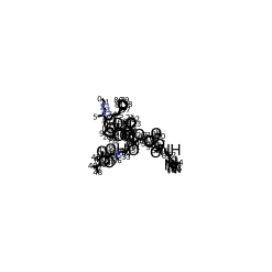 C/C=C/C=C(\C)C(C[C@@H]1CC[C@@H](C)[C@](O)(C(=O)C(=O)N2CCCCC2C(=O)O[C@@H](CC(=O)[C@H](C)/C=C(\C)[C@@H](O)[C@@H](OC)C(=O)[C@H](C)CC(C)C)[C@H](C)C[C@@H]2CC[C@@H](OC(=O)NCCn3cnnn3)[C@H](OC)C2)O1)OCCc1ccccc1